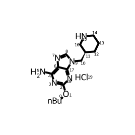 CCCCOc1nc(N)c2ncn(C[C@@H]3CCCNC3)c2n1.Cl